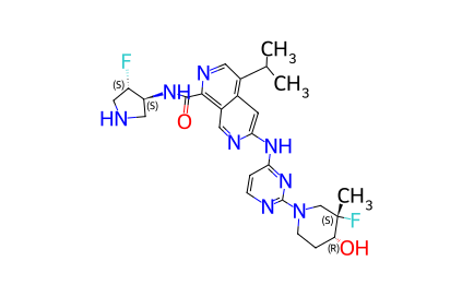 CC(C)c1cnc(C(=O)N[C@H]2CNC[C@@H]2F)c2cnc(Nc3ccnc(N4CC[C@@H](O)[C@@](C)(F)C4)n3)cc12